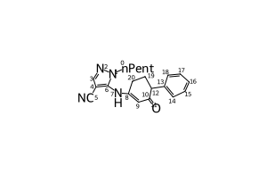 CCCCCn1ncc(C#N)c1NC1=CC(=O)C(c2ccccc2)CC1